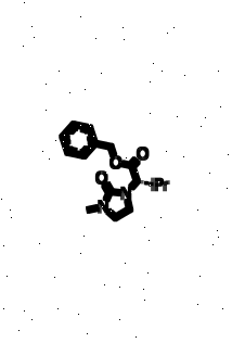 CC(C)[C@@H](C(=O)OCc1ccccc1)N1CCN(C)C1=O